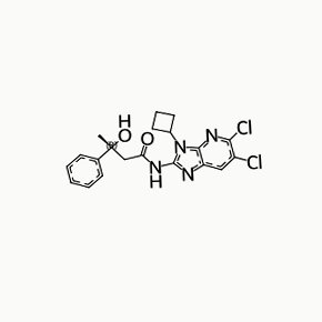 C[C@@](O)(CC(=O)Nc1nc2cc(Cl)c(Cl)nc2n1C1CCC1)c1ccccc1